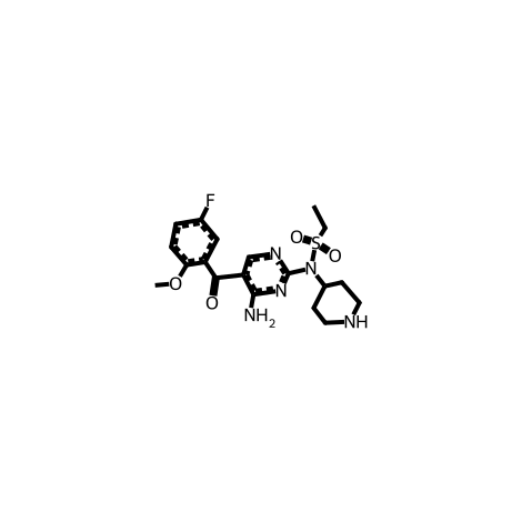 CCS(=O)(=O)N(c1ncc(C(=O)c2cc(F)ccc2OC)c(N)n1)C1CCNCC1